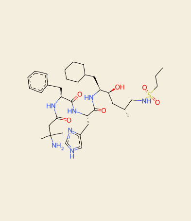 CCCS(=O)(=O)NC[C@H](C)C[C@H](O)[C@H](CC1CCCCC1)NC(=O)[C@H](Cc1c[nH]cn1)NC(=O)[C@H](Cc1ccccc1)NC(=O)CC(C)(C)N